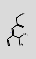 C=C/C(=C/C(=C)CC(C)C)C(N)CCC